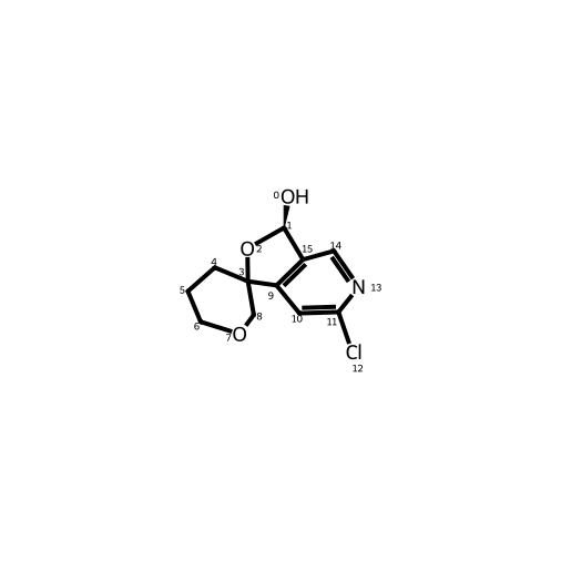 O[C@@H]1OC2(CCCOC2)c2cc(Cl)ncc21